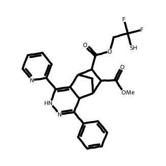 COC(=O)C1C2CC(C3=C(c4ccccn4)NN=C(c4ccccc4)C32)C1C(=O)OCC(F)(F)S